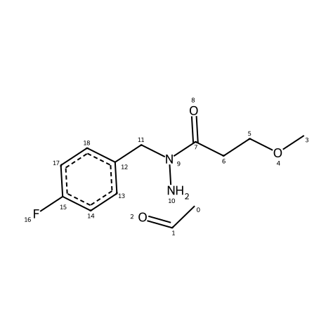 CC=O.COCCC(=O)N(N)Cc1ccc(F)cc1